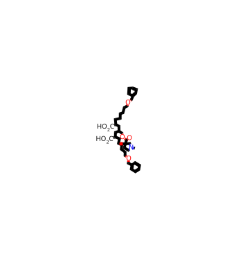 CN1CCC(C)(C(=O)OCC(CC(CCCCCCOCc2ccccc2)C(=O)O)CC(CCCCCCOCc2ccccc2)C(=O)O)C1